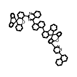 c1ccc2c(c1)Oc1c(-c3nc(-c4cccc5c(-c6cccc7c6-c6ccccc6C76c7ccccc7Oc7c(-c8ccc(-c9cccc%10ccccc9%10)nn8)cccc76)cccc45)c4ccccc4n3)cccc1C21c2ccccc2-c2ccccc21